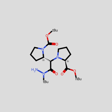 CCCCOC(=O)[C@@H]1CCCN1C(C(=O)N(N)C(C)(C)C)[C@@H]1CCCN1C(=O)OC(C)(C)C